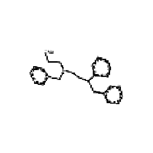 COCCN(CCC(Cc1ccccc1)c1ccccc1)Cc1ccccc1